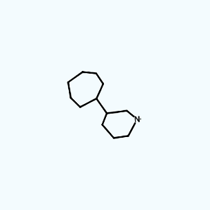 C1CCCC(C2CCC[N]C2)CC1